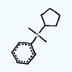 CS(C)(c1ccccc1)C1CCCC1